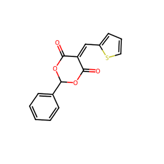 O=C1OC(c2ccccc2)OC(=O)C1=Cc1cccs1